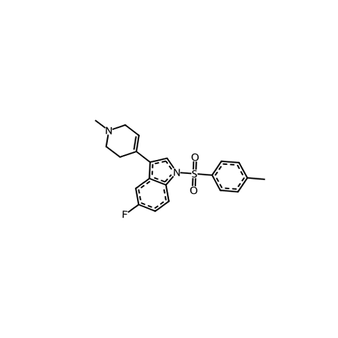 Cc1ccc(S(=O)(=O)n2cc(C3=CCN(C)CC3)c3cc(F)ccc32)cc1